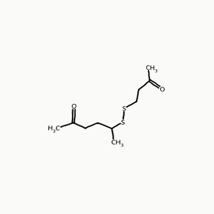 CC(=O)CCSSC(C)CCC(C)=O